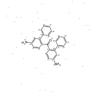 Nc1ccc(C(=O)c2ccc(N)cc2-c2ccccc2)c(-c2ccccc2)c1